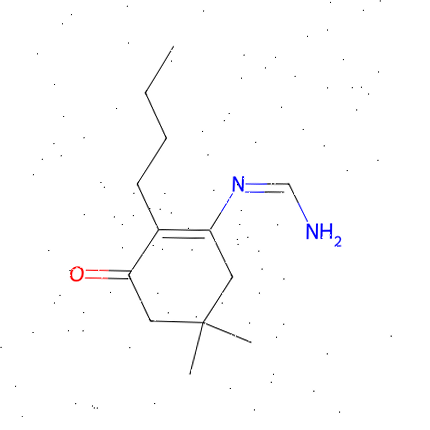 CCCCC1=C(/N=C\N)CC(C)(C)CC1=O